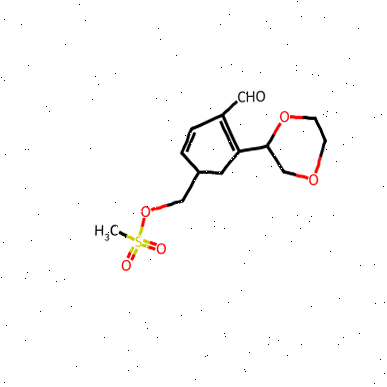 CS(=O)(=O)OCC1C=CC(C=O)=C(C2COCCO2)C1